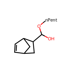 CCCCCOC(O)C1CC2C=CC1C2